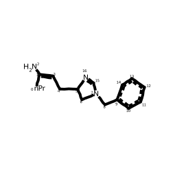 CCC/C(N)=C\CC1CN(Cc2ccccc2)C=N1